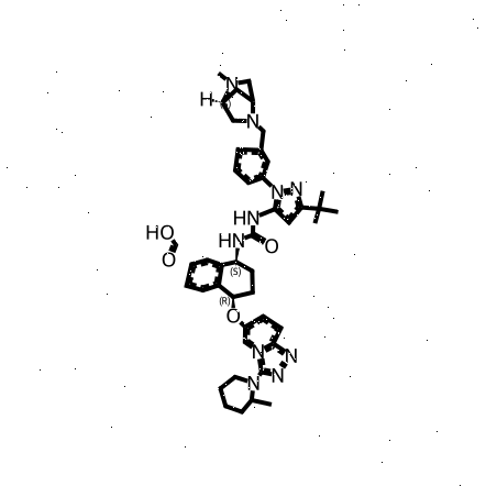 CC1CCCCN1c1nnc2ccc(O[C@@H]3CC[C@H](NC(=O)Nc4cc(C(C)(C)C)nn4-c4cccc(CN5C[C@@H]6CC5CN6C)c4)c4ccccc43)cn12.O=CO